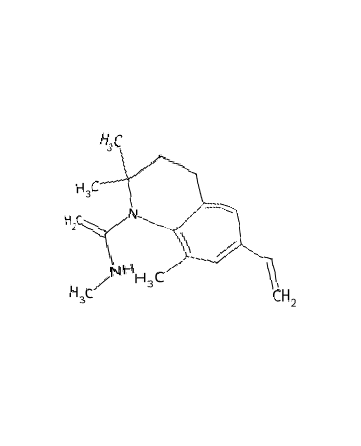 C=Cc1cc(C)c2c(c1)CCC(C)(C)N2C(=C)NC